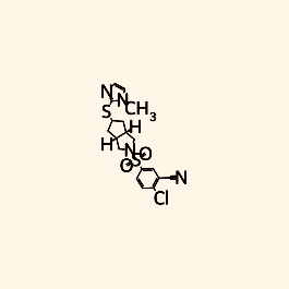 Cn1ccnc1SC1C[C@@H]2CN(S(=O)(=O)c3ccc(Cl)c(C#N)c3)C[C@@H]2C1